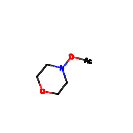 [CH2]C(=O)ON1CCOCC1